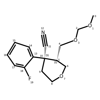 COCOC[C@@H]1COCC[C@@]1(C#N)c1ccccc1F